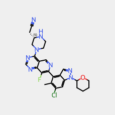 Cc1c(Cl)cc2c(cnn2C2CCCCO2)c1-c1ncc2c(N3CCN[C@@H](CC#N)C3)ncnc2c1F